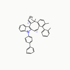 Cc1ccccc1-c1c(C)ccc2c1/C=C\c1c(c3ccccc3n1-c1ccc(-c3ccccc3)cc1)/C(=C/C(C)C)C2(C)C